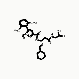 CCC(C)Cn1nc(C(=O)N[C@@H](CCC2CCCCC2)CC(=O)NCC(O)CC)cc1-c1c(OC)cccc1OC